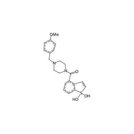 COc1ccc(CN2CCN(C(=O)c3cccc4c3C=CS4(O)O)CC2)cc1